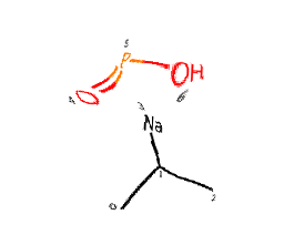 C[CH](C)[Na].O=PO